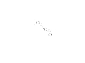 CCN(c1ccccc1)S(=O)(=O)c1ccc(NC(=S)NC(=O)c2ccc(OC)c(Br)c2)cc1